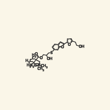 CC(C)(C)CC(C)(C(=O)OCC(O)CSc1ccc2cc(-c3ccc(CCO)o3)oc2c1)C(C)(C)C